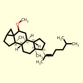 COC1C[C@H]2[C@@H]3CC[C@H](/C(C)=C\CCC(C)C)[C@@]3(C)CC[C@@H]2[C@@]2(C)CCC3CC312